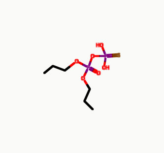 CCCOP(=O)(OCCC)OP(O)(O)=S